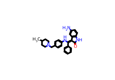 CC1CCN(Cc2ccc(NC(=C3C(=O)Nc4ccc(N)cc43)c3ccccc3)cc2)CC1